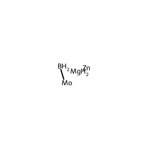 [BH2][Mo].[MgH2].[Zn]